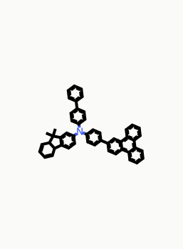 CC1(C)c2cc(N(c3ccc(-c4ccccc4)cc3)c3ccc(-c4ccc5c6ccccc6c6ccccc6c5c4)cc3)ccc2C2C=CC=CC21